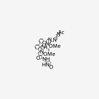 COc1nc(-c2cccc(-c3cccc(-c4cc5c(c(OC)n4)C(NCC4CCC(=O)N4)CO5)c3C)c2Cl)cnc1CN1CC2(C1)CN(C(C)=O)C2